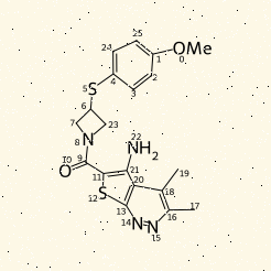 COc1ccc(SC2CN(C(=O)c3sc4nnc(C)c(C)c4c3N)C2)cc1